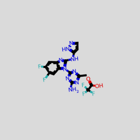 Cc1nc(N)nc(-n2c(Nc3ccn[nH]3)nc3cc(F)c(F)cc32)n1.O=C(O)C(F)(F)F